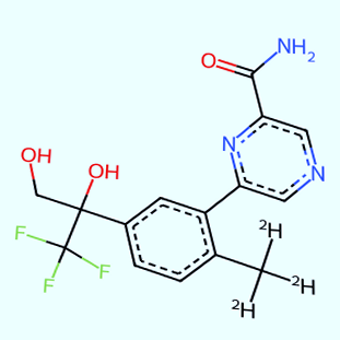 [2H]C([2H])([2H])c1ccc(C(O)(CO)C(F)(F)F)cc1-c1cncc(C(N)=O)n1